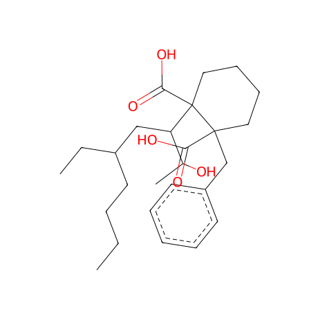 CCCCC(CC)CC(C(C)O)C1(C(=O)O)CCCCC1(Cc1ccccc1)C(=O)O